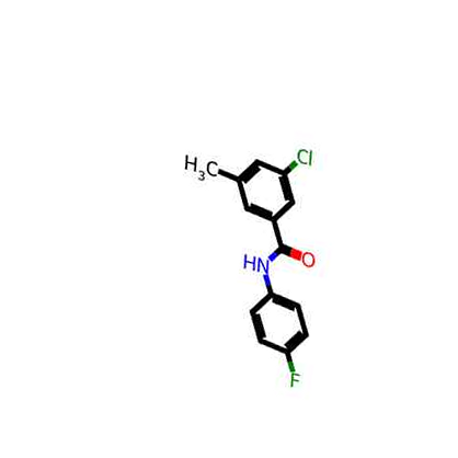 Cc1cc(Cl)cc(C(=O)Nc2ccc(F)cc2)c1